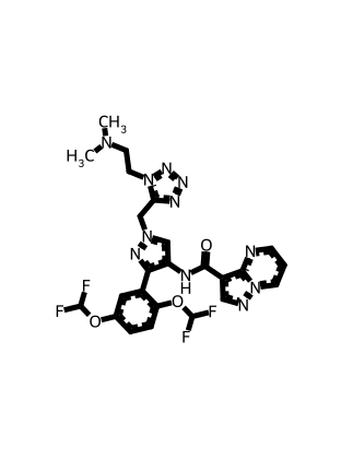 CN(C)CCn1nnnc1Cn1cc(NC(=O)c2cnn3cccnc23)c(-c2cc(OC(F)F)ccc2OC(F)F)n1